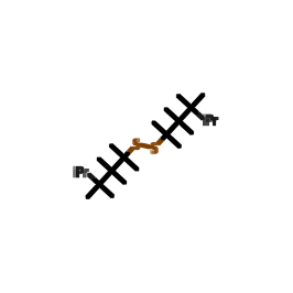 CC(C)C(C)(C)C(C)(C)C(C)(C)SSC(C)(C)C(C)(C)C(C)(C)C(C)C